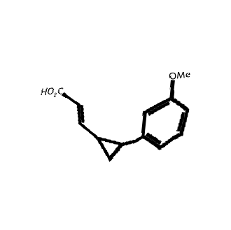 COc1cccc(C2CC2C=CC(=O)O)c1